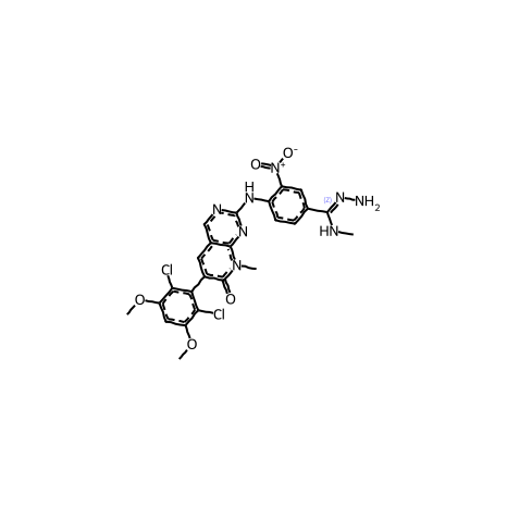 CN/C(=N\N)c1ccc(Nc2ncc3cc(-c4c(Cl)c(OC)cc(OC)c4Cl)c(=O)n(C)c3n2)c([N+](=O)[O-])c1